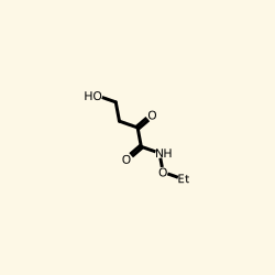 CCONC(=O)C(=O)CCO